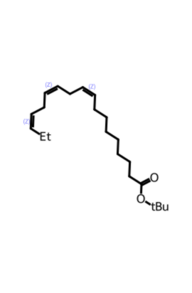 CC/C=C\C/C=C\C/C=C\CCCCCCCC(=O)OC(C)(C)C